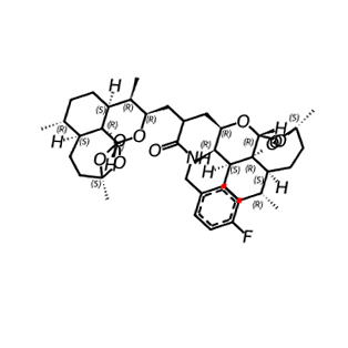 C[C@H]1[C@@H](CC(C[C@H]2O[C@@H]3O[C@]4(C)CC[C@H]5[C@H](C)CC[C@@H]([C@H]2C)[C@@]35OO4)C(=O)NCc2ccc(F)cc2)O[C@@H]2O[C@]3(C)CC[C@H]4[C@H](C)CC[C@@H]1[C@@]24OO3